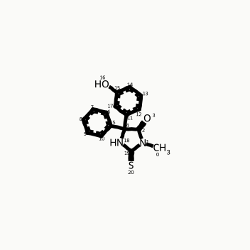 CN1C(=O)C(c2ccccc2)(c2cccc(O)c2)NC1=S